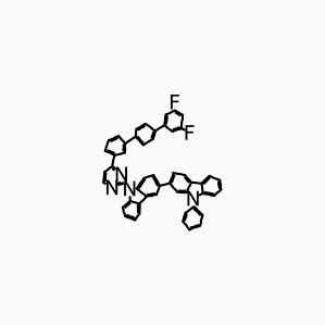 Fc1cc(F)cc(-c2ccc(-c3cccc(-c4ccnc(-n5c6ccccc6c6cc(-c7ccc8c9ccccc9n(-c9ccccc9)c8c7)ccc65)n4)c3)cc2)c1